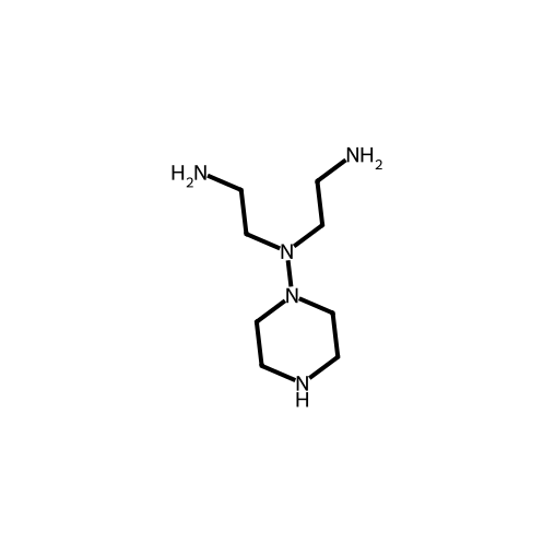 NCCN(CCN)N1CCNCC1